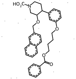 O=C(OCCCCOc1cccc(C2CCN(C(=O)O)CC2OCc2ccc3ccccc3c2)c1)c1ccccc1